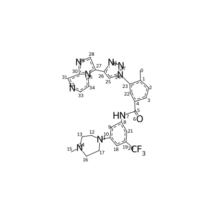 Cc1ccc(C(=O)Nc2cc(N3CCN(C)CC3)cc(C(F)(F)F)c2)cc1-n1cc(-c2cnc3cnccn23)nn1